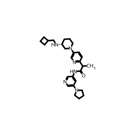 CC(C(=O)Nc1cncc(N2CCCC2)c1)c1ccc(N2CCC[C@@H](NCC3CCC3)C2)cn1